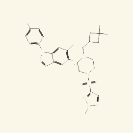 Cc1cc2c(cnn2-c2ccc(F)cc2)cc1[C@@H]1CN(S(=O)(=O)c2cnn(C)n2)CCN1CC1CC(C)(C)C1